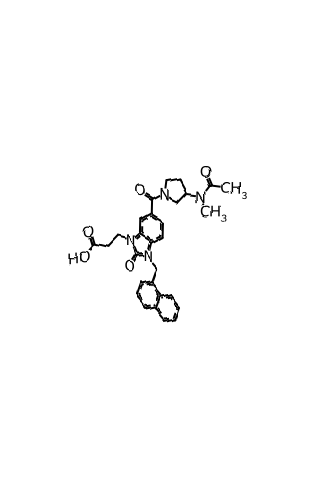 CC(=O)N(C)C1CCN(C(=O)c2ccc3c(c2)n(CCC(=O)O)c(=O)n3Cc2cccc3ccccc23)C1